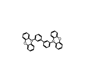 c1cc(-c2cccc(N3c4ccccc4Oc4ccccc43)c2)cc(N2c3ccccc3Oc3ccccc32)c1